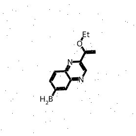 Bc1ccc2nc(C(=C)OCC)cnc2c1